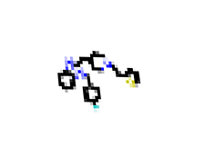 Fc1ccc(Cn2c(CC3CCN(CCc4cccs4)CC3)nc3ccccc32)cc1